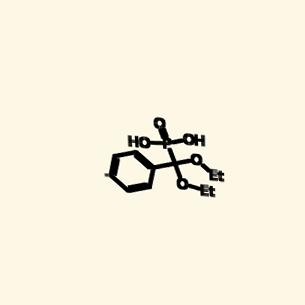 CCOC(OCC)(c1cc[c]cc1)P(=O)(O)O